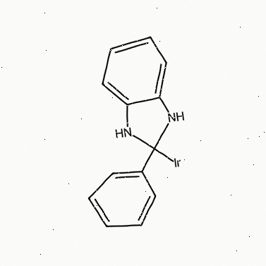 [Ir][C]1(c2ccccc2)Nc2ccccc2N1